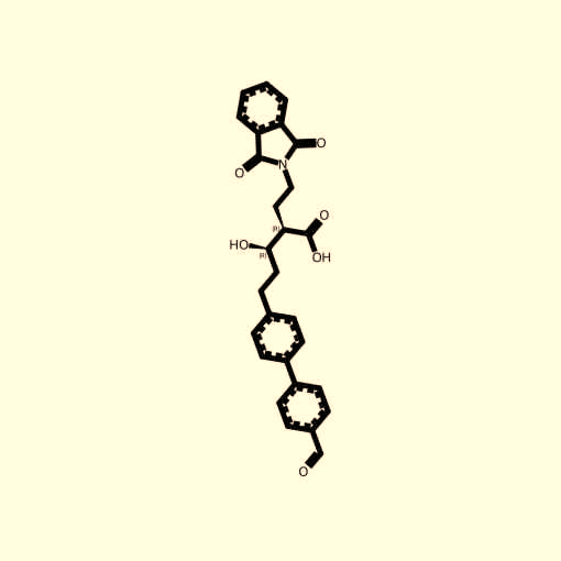 O=Cc1ccc(-c2ccc(CC[C@@H](O)[C@@H](CCN3C(=O)c4ccccc4C3=O)C(=O)O)cc2)cc1